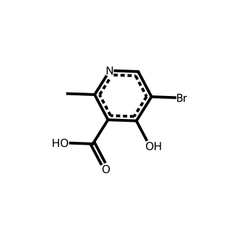 Cc1ncc(Br)c(O)c1C(=O)O